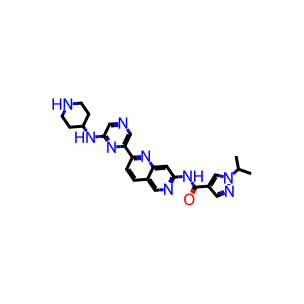 CC(C)n1cc(C(=O)Nc2cc3nc(-c4cncc(NC5CCNCC5)n4)ccc3cn2)cn1